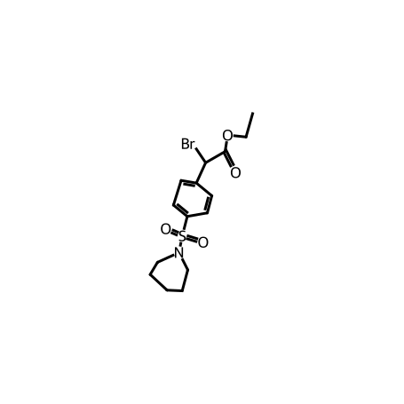 CCOC(=O)C(Br)c1ccc(S(=O)(=O)N2CCCCC2)cc1